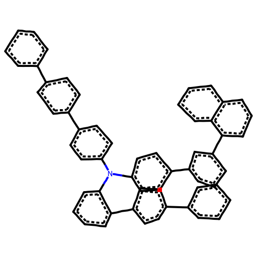 c1ccc(-c2ccc(-c3ccc(N(c4ccc(-c5cccc(-c6cccc7ccccc67)c5)cc4)c4ccccc4-c4ccc(-c5ccccc5)cc4)cc3)cc2)cc1